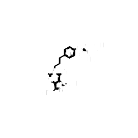 CCCc1nn(C)c2c(=O)n(CCCc3ccc(OC(C)(C)C(=O)O)cc3)c(C)nc12